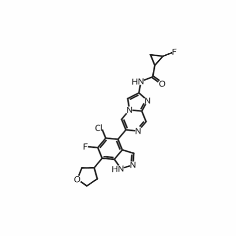 O=C(Nc1cn2cc(-c3c(Cl)c(F)c(C4CCOC4)c4[nH]ncc34)ncc2n1)C1CC1F